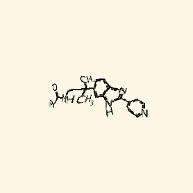 CC(C)C(=O)NCC(C)(C)c1ccc2nc(-c3ccncc3)[nH]c2c1